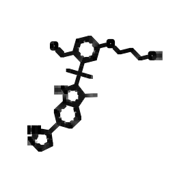 Cc1c(C(C)(C)c2cc(OCCCO)ccc2C=O)[nH]c2cc(-c3ccn[nH]3)ccc12